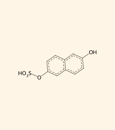 O=S(=O)(O)Oc1ccc2cc(O)ccc2c1